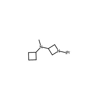 CC(C)N1CC(N(C)C2CCC2)C1